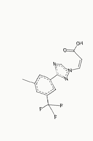 Cc1cc(-c2ncn(/C=C\C(=O)O)n2)cc(C(F)(F)F)c1